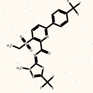 CCS(=O)(=O)c1ccc(-c2ccc(C(F)(F)F)cc2)nc1C(=O)/N=c1\sc(C(F)(F)F)nn1C